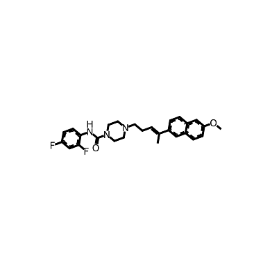 COc1ccc2cc(/C(C)=C/CCN3CCN(C(=O)Nc4ccc(F)cc4F)CC3)ccc2c1